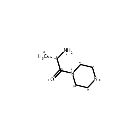 C[C@H](N)C(=O)N1CC[N]CC1